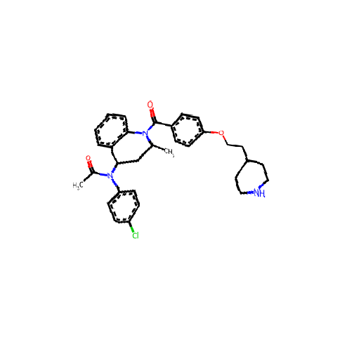 CC(=O)N(c1ccc(Cl)cc1)C1CC(C)N(C(=O)c2ccc(OCCC3CCNCC3)cc2)c2ccccc21